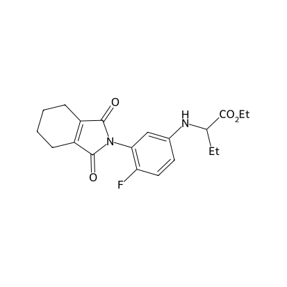 CCOC(=O)C(CC)Nc1ccc(F)c(N2C(=O)C3=C(CCCC3)C2=O)c1